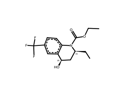 CCOC(=O)N1c2ccc(C(F)(F)F)cc2[C@H](O)C[C@@H]1CC